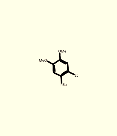 CCCCc1cc(OC)c(OC)cc1CC